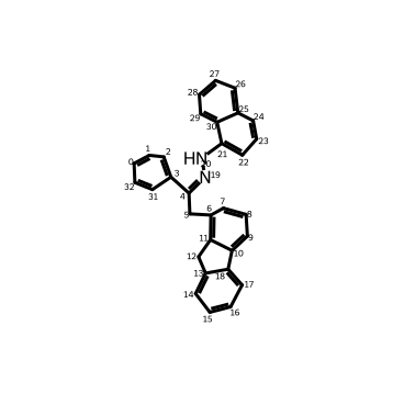 c1ccc(C(Cc2cccc3c2Cc2ccccc2-3)=NNc2cccc3ccccc23)cc1